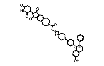 O=C1CCC(N2C(=O)c3cc4c(cc3C2=O)CCN(C(=O)CN2CC3(CCN(c5ccc([C@@H]6c7ccc(O)cc7CC[C@@H]6c6ccccc6)cc5)CC3)C2)CC4)C(=O)N1